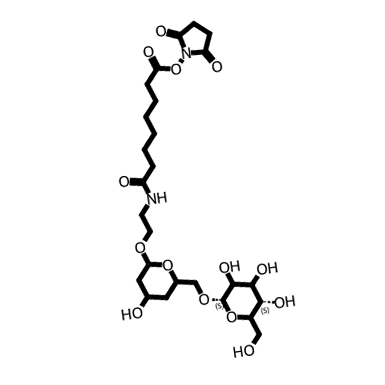 O=C(CCCCCCC(=O)ON1C(=O)CCC1=O)NCCOC1CC(O)CC(CO[C@H]2OC(CO)[C@@H](O)C(O)C2O)O1